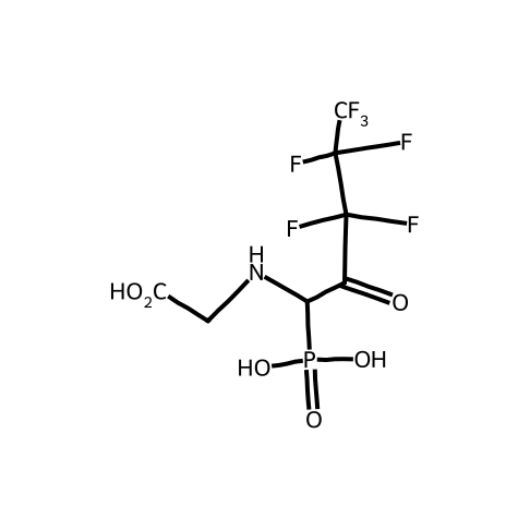 O=C(O)CNC(C(=O)C(F)(F)C(F)(F)C(F)(F)F)P(=O)(O)O